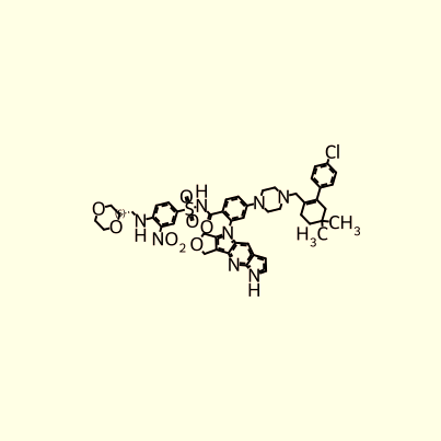 CC1(C)CCC(CN2CCN(c3ccc(C(=O)NS(=O)(=O)c4ccc(NC[C@H]5COCCO5)c([N+](=O)[O-])c4)c(-n4c5c(c6nc7[nH]ccc7cc64)COC5)c3)CC2)=C(c2ccc(Cl)cc2)C1